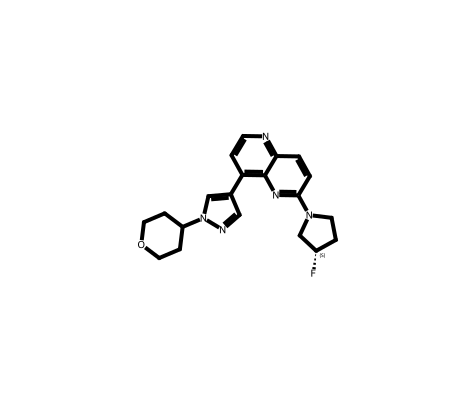 F[C@H]1CCN(c2ccc3nccc(-c4cnn(C5CCOCC5)c4)c3n2)C1